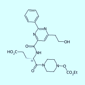 CCOC(=O)ON1CCN(C(=O)[C@H](CCC(=O)O)NC(=O)c2cc(CCO)nc(-c3ccccc3)n2)CC1